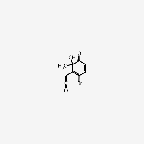 CC1(C)C(=O)C=CC(Br)=C1C=C=O